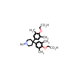 CC(=O)N1CCC(c2cc(C)c(OCC(=O)O)c(C)c2)(c2cc(C)c(OCC(=O)O)c(C)c2)CC1